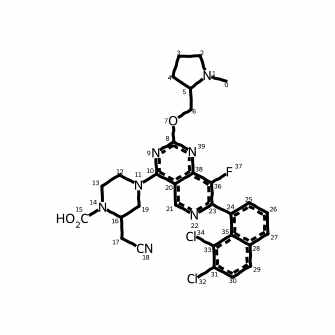 CN1CCCC1COc1nc(N2CCN(C(=O)O)C(CC#N)C2)c2cnc(-c3cccc4ccc(Cl)c(Cl)c34)c(F)c2n1